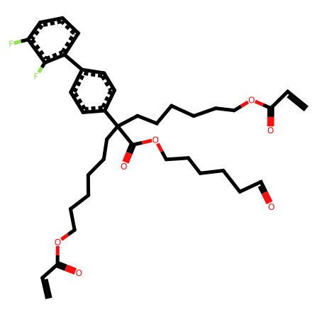 C=CC(=O)OCCCCCCC(CCCCCCOC(=O)C=C)(C(=O)OCCCCCC=O)c1ccc(-c2cccc(F)c2F)cc1